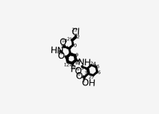 O=C(O)C1=C(C(=O)Nc2cc3c(cc2F)ONC(=O)C3CC=CCl)CCCC1